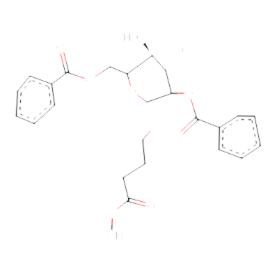 COC(=O)CCCO[C@@H]1OC(COC(=O)c2ccccc2)[C@@H](C)[C@H](C)C1OC(=O)c1ccccc1